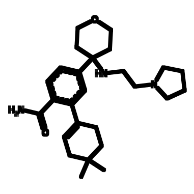 CC1(C)CC=C(c2cc(C3(NCCN4CCCC4)CCOCC3)ccc2C(N)=O)CC1